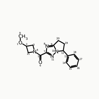 COC1CN(C(=O)c2nc3n(n2)C(c2ccccc2)CC3)C1